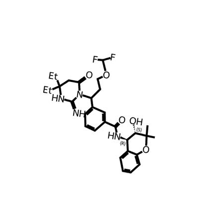 CCC1(CC)CC(=O)N(C(CCOC(F)F)c2cccc(C(=O)N[C@@H]3c4ccccc4OC(C)(C)[C@H]3O)c2)C(=N)N1